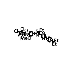 CCc1sc(N2CC[C@@H](NC(=O)c3[nH]c(C)c(Cl)c3Cl)[C@@H](OC)C2)nc1-c1cnc(N2CCN(C(CC)CC)CC2)cn1